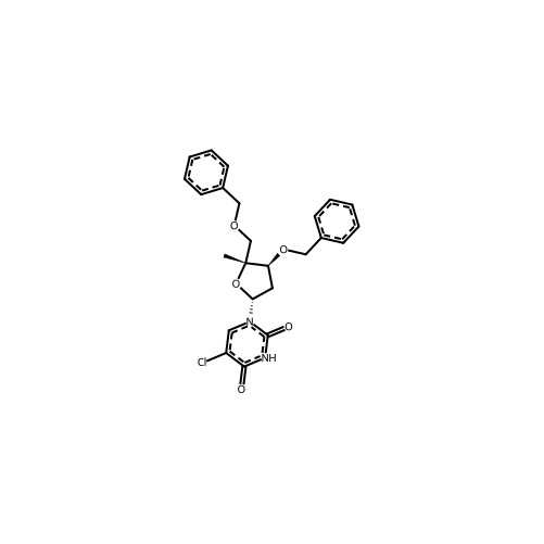 C[C@]1(COCc2ccccc2)O[C@@H](n2cc(Cl)c(=O)[nH]c2=O)C[C@@H]1OCc1ccccc1